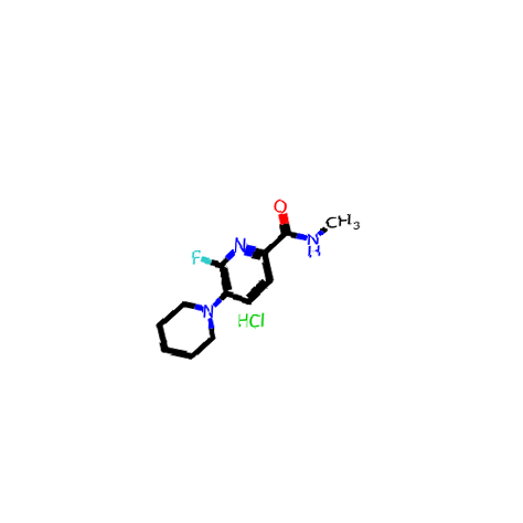 CNC(=O)c1ccc(N2CCCCC2)c(F)n1.Cl